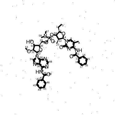 CC[C@H]1O[C@@H](n2cc(C)c(NC(=O)c3ccccc3)nc2=O)[C@@H](C)C1OP(=O)(OC[C@H]1O[C@@H](n2cnc3c(NC(=O)c4ccccc4)ncnc32)[C@@H](OC)C1O)N(C)C